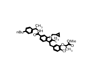 CCCCc1ccc([C@H](C)NC(=O)c2ccc3c(Cc4ccc(Cl)c(O[C@H](C)C(=O)OC)c4)c(C)n(CC4CC4)c3c2)cc1